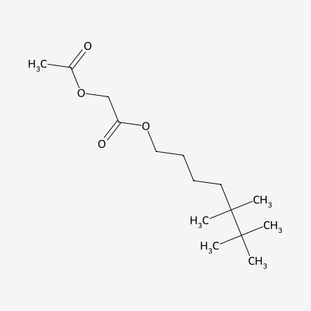 CC(=O)OCC(=O)OCCCCC(C)(C)C(C)(C)C